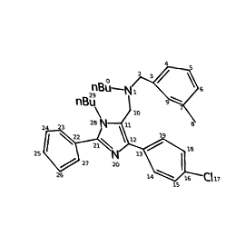 CCCCN(Cc1cccc(C)c1)Cc1c(-c2ccc(Cl)cc2)nc(-c2ccccc2)n1CCCC